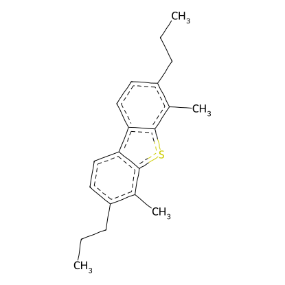 CCCc1ccc2c(sc3c(C)c(CCC)ccc32)c1C